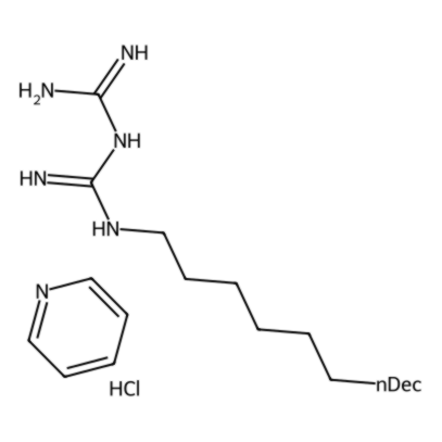 CCCCCCCCCCCCCCCCNC(=N)NC(=N)N.Cl.c1ccncc1